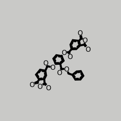 O=C(Oc1ccc(OC(=O)c2ccc3c(c2)C(=O)OC3=O)c(C(=O)OCc2ccccc2)c1)c1ccc2c(c1)C(=O)OC2=O